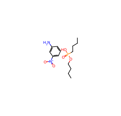 CCCCOP(=O)(O)CCCC.Nc1cccc([N+](=O)[O-])c1